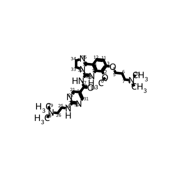 COc1c(OCCCN(C)C)ccc2c1N=C(NC(=O)c1cnc(NCCN(C)C)nc1)N1CCN=C21